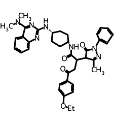 CCOc1ccc(C(=O)CC(C(=O)N[C@H]2CC[C@@H](Nc3nc(N(C)C)c4ccccc4n3)CC2)C2C(=O)N(c3ccccc3)N=C2C)cc1